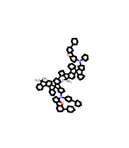 CC1(C)c2ccccc2-c2c1ccc1c2-c2ccccc2C12c1ccc(-c3cccc4c3C(C)(C)c3ccc5c(c3-4)-c3ccccc3C53c4ccccc4-c4ccc(N(c5ccccc5)c5ccc6oc7ccc(-c8ccccc8)cc7c6c5)cc43)cc1-c1ccc(N(c3ccc(-c4ccccc4)cc3)c3cccc4c3oc3c(-c5ccccc5)cccc34)cc12